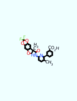 Cc1ccc(NC(=O)[C@@]2(C)COc3cc4c(cc32)OC(F)(F)O4)nc1-c1cccc(C(=O)O)c1